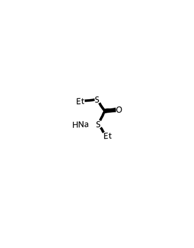 CCSC(=O)SCC.[NaH]